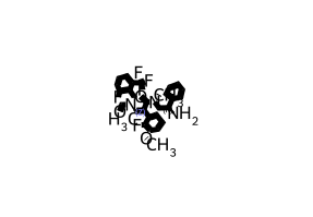 COc1cccc(/C(C(=O)N(C)C[C@H](N)c2ccccc2)=C(\C)N(C=O)Cc2c(F)cccc2C(F)(F)F)c1F